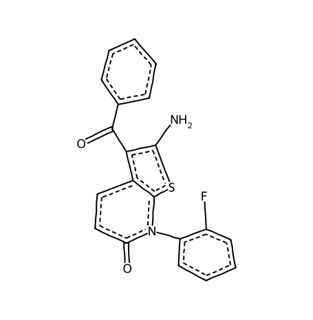 Nc1sc2c(ccc(=O)n2-c2ccccc2F)c1C(=O)c1ccccc1